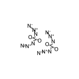 [N-]=[N+]=NS(=O)(=O)N=[N+]=[N-].[N-]=[N+]=NS(=O)(=O)N=[N+]=[N-]